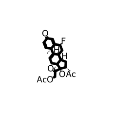 CC(=O)OCC(=O)[C@]1(OC(C)=O)[C@@H](C)C[C@H]2[C@@H]3C[C@H](F)C4=CC(=O)C=C[C@]4(C)C3=CC[C@@]21C